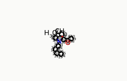 CC1(C)c2ccccc2-c2c(N(c3ccc4c(ccc5ccc6ccccc6c54)c3)c3ccc4c(c3)oc3ccccc34)cccc21